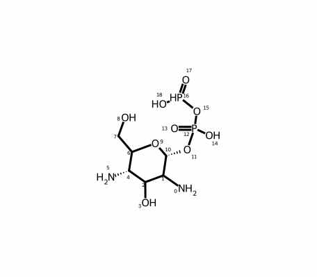 NC1C(O)[C@H](N)C(CO)O[C@@H]1OP(=O)(O)O[PH](=O)O